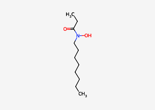 CCCCCCCCN(O)C(=O)CC